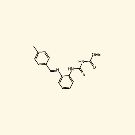 COC(=O)NC(=S)Nc1ccccc1N=Cc1ccc(C)cc1